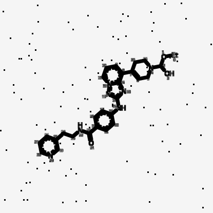 CCOC(O)N1CC=C(c2cccn3nc(Nc4ccc(C(=O)NCCc5cccnc5)cc4)nc23)CC1